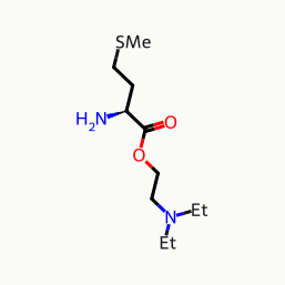 CCN(CC)CCOC(=O)[C@@H](N)CCSC